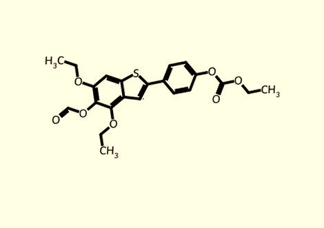 CCOC(=O)Oc1ccc(-c2[c]c3c(OCC)c(OC=O)c(OCC)cc3s2)cc1